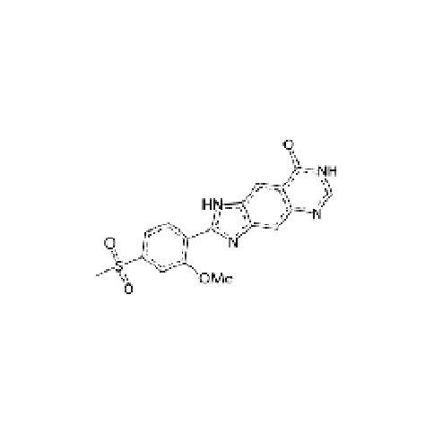 COc1cc(S(C)(=O)=O)ccc1-c1nc2cc3nc[nH]c(=O)c3cc2[nH]1